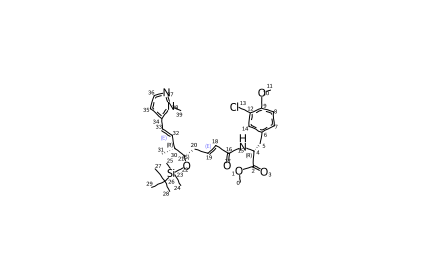 COC(=O)[C@@H](Cc1ccc(OC)c(Cl)c1)NC(=O)/C=C/C[C@H](O[Si](C)(C)C(C)(C)C)[C@H](C)/C=C/c1ccnn1C